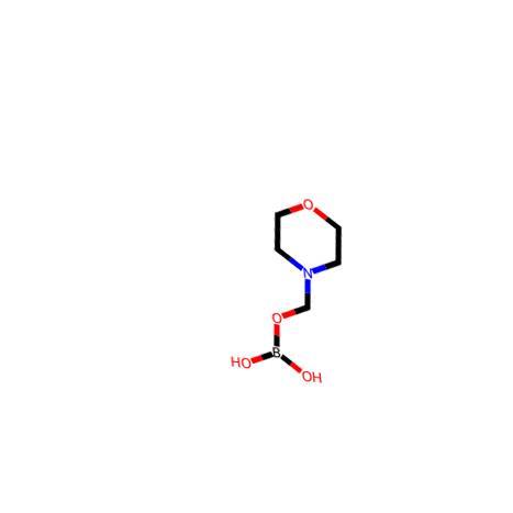 OB(O)OCN1CCOCC1